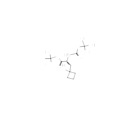 CC1(/C=C(/NC(=O)OC(C)(C)C)C(=O)OC(C)(C)C)CCC1